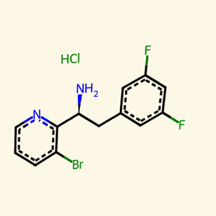 Cl.N[C@@H](Cc1cc(F)cc(F)c1)c1ncccc1Br